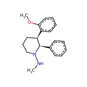 CNN1CCC[C@@H](c2ccccc2OC)[C@H]1c1ccccc1